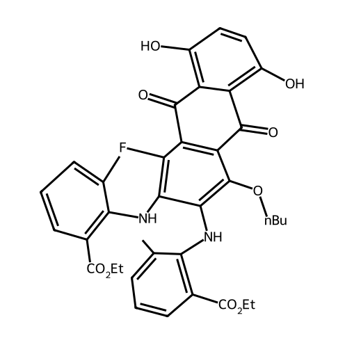 CCCCOc1c(Nc2c(C)cccc2C(=O)OCC)c(Nc2c(C)cccc2C(=O)OCC)c(F)c2c1C(=O)c1c(O)ccc(O)c1C2=O